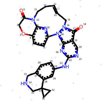 O=C1COc2ccc3nc2N1CC/C=C/Cn1c(=O)c2cnc(Nc4ccc5c(c4)C4(CC4)CNC5)nc2n1-3